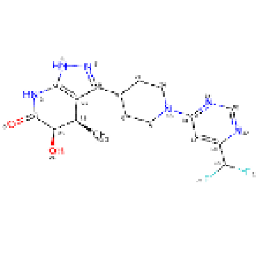 O=C1Nc2[nH]nc(C3CCN(c4cc(C(F)F)ncn4)CC3)c2[C@@H](C(F)(F)F)[C@H]1O